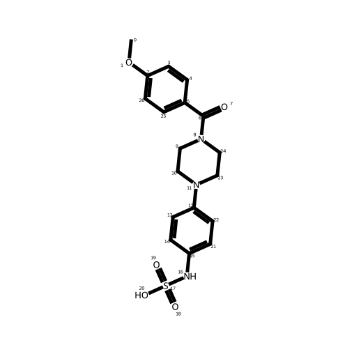 COc1ccc(C(=O)N2CCN(c3ccc(NS(=O)(=O)O)cc3)CC2)cc1